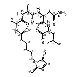 CC(C)C[C@H](NC(=O)[C@H](CC(N)=O)NC(=O)[C@H](C)NC(=O)[C@H](C)NC(=O)CCCCCN1C(=O)C=CC1=O)C(=O)O